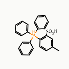 Cc1ccc([PH](c2ccccc2)(c2ccccc2)c2ccccc2)c(S(=O)(=O)O)c1